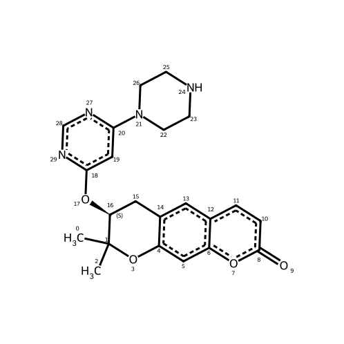 CC1(C)Oc2cc3oc(=O)ccc3cc2C[C@@H]1Oc1cc(N2CCNCC2)ncn1